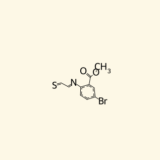 COC(=O)c1cc(Br)ccc1N=CC=S